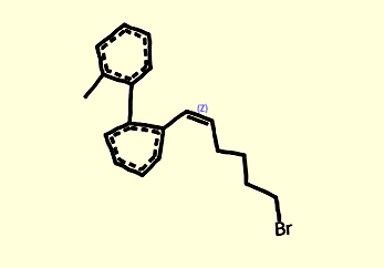 Cc1ccccc1-c1ccccc1/C=C\CCCCBr